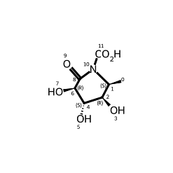 C[C@H]1[C@@H](O)[C@H](O)[C@@H](O)C(=O)N1C(=O)O